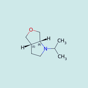 CC(C)N1CC[C@@H]2COC[C@@H]21